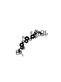 COC(=O)C[C@@H]1COc2cc(O[C@@H]3CCc4c(Oc5cc(F)c(-c6cnn(CC(C)(C)O)c6)c(F)c5)ccc(F)c43)ccc21